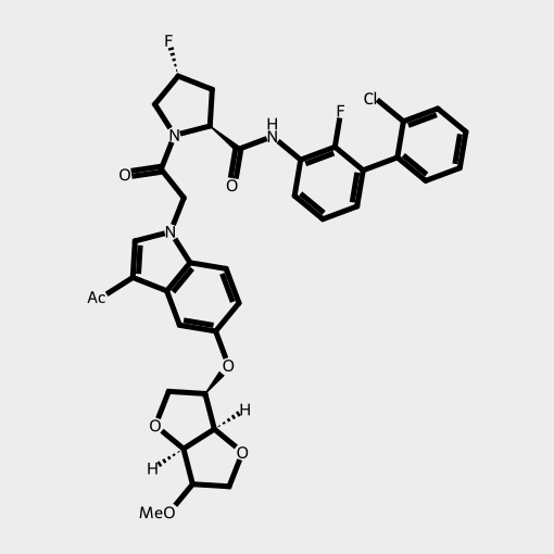 COC1CO[C@H]2[C@@H]1OC[C@H]2Oc1ccc2c(c1)c(C(C)=O)cn2CC(=O)N1C[C@H](F)C[C@H]1C(=O)Nc1cccc(-c2ccccc2Cl)c1F